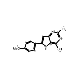 COc1ccc(-c2cc3nc(C)nc(O)c3[nH]2)cc1